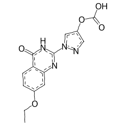 CCOc1ccc2c(=O)[nH]c(-n3cc(OC(=O)O)cn3)nc2c1